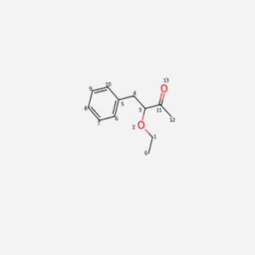 CCOC(Cc1ccccc1)C(C)=O